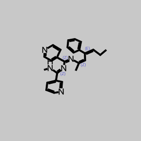 CC\C=C(/C=C(C)\N=C(/N=C(\NC)c1cccnc1)c1ccncc1)c1ccccc1